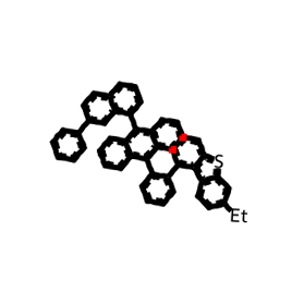 CCc1ccc2c(c1)sc1cccc(-c3ccccc3-c3c4ccccc4c(-c4cccc5ccc(-c6ccccc6)cc45)c4ccccc34)c12